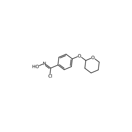 O/N=C(\Cl)c1ccc(OC2CCCCO2)cc1